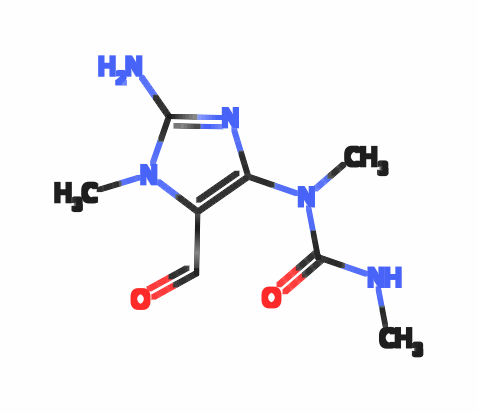 CNC(=O)N(C)c1nc(N)n(C)c1C=O